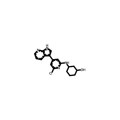 OC1CCCC(Nc2cc(-c3c[nH]c4ncccc34)cc(Cl)n2)C1